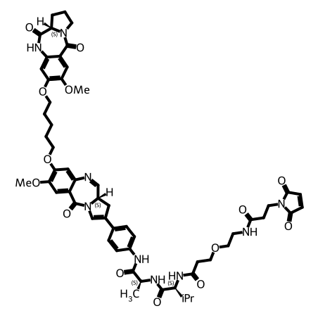 COc1cc2c(cc1OCCCCCOc1cc3c(cc1OC)C(=O)N1CCC[C@H]1C(=O)N3)N=C[C@@H]1CC(c3ccc(NC(=O)[C@H](C)NC(=O)[C@@H](NC(=O)CCOCCNC(=O)CCN4C(=O)C=CC4=O)C(C)C)cc3)=CN1C2=O